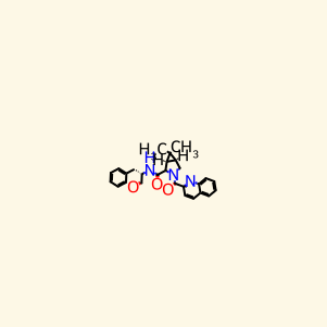 CC1(C)[C@@H]2C(C(=O)N[C@H](C=O)Cc3ccccc3)N(C(=O)c3ccc4ccccc4n3)C[C@@H]21